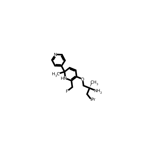 CC(C)C[C@](C)(N)COC1=C(CF)NC(C)(c2ccncc2)C=C1